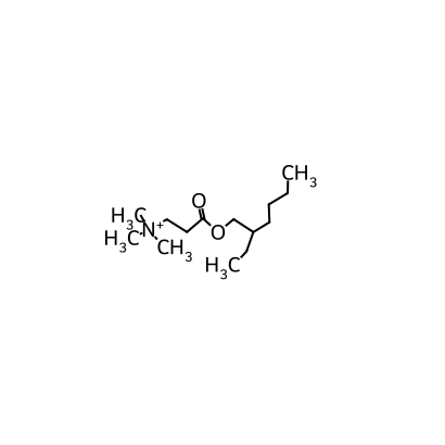 CCCCC(CC)COC(=O)CC[N+](C)(C)C